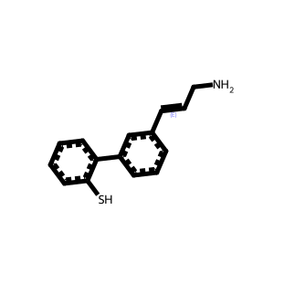 NC/C=C/c1cccc(-c2ccccc2S)c1